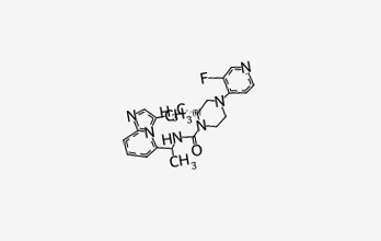 Cc1cnc2cccc(C(C)NC(=O)N3CCN(c4ccncc4F)C[C@H]3C)n12